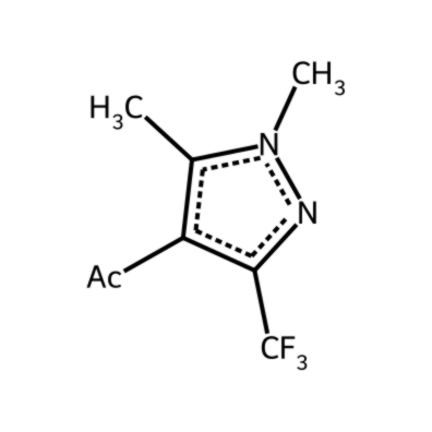 CC(=O)c1c(C(F)(F)F)nn(C)c1C